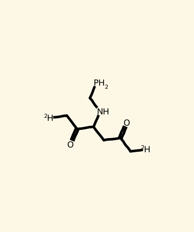 [2H]CC(=O)CC(NCP)C(=O)C[2H]